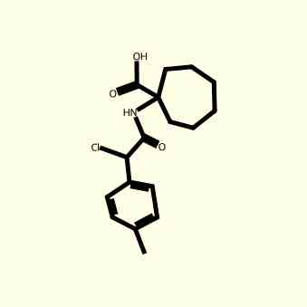 Cc1ccc(C(Cl)C(=O)NC2(C(=O)O)CCCCCC2)cc1